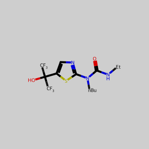 CCCCN(C(=O)NCC)c1ncc(C(O)(C(F)(F)F)C(F)(F)F)s1